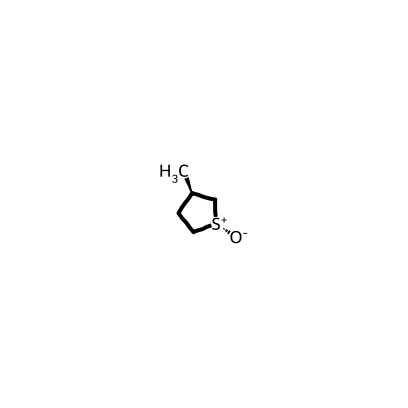 C[C@@H]1CC[S@@+]([O-])C1